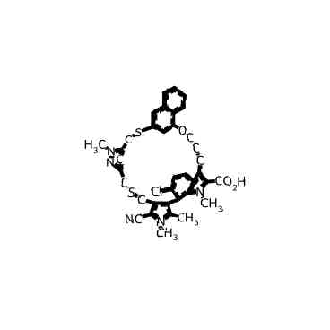 Cc1c2c(c(C#N)n1C)CSCc1cc(n(C)n1)CSc1cc(c3ccccc3c1)OCCCc1c(C(=O)O)n(C)c3c-2c(Cl)ccc13